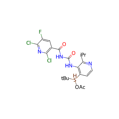 CC(=O)O[SH](c1ccnc(C(C)C)c1NC(=O)NC(=O)c1cc(F)c(Cl)nc1Cl)C(C)(C)C